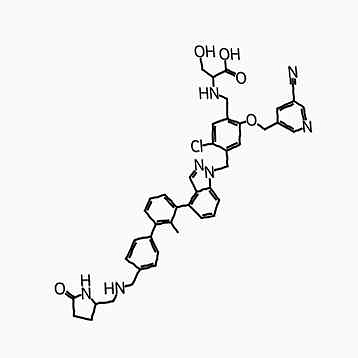 Cc1c(-c2ccc(CNCC3CCC(=O)N3)cc2)cccc1-c1cccc2c1cnn2Cc1cc(OCc2cncc(C#N)c2)c(CNC(CO)C(=O)O)cc1Cl